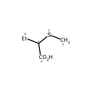 CCC([Si]C)C(=O)O